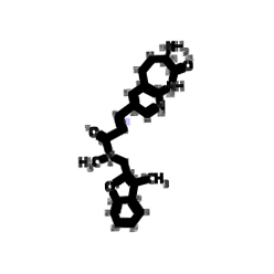 Cc1c(CN(C)C(=O)/C=C/c2cnc3c(c2)CC[C@H](N)C(=O)N3)oc2ccccc12